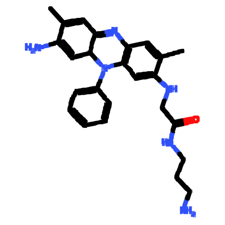 CC1=CC2=Nc3cc(C)c(NCC(=O)NCCCN)cc3N(c3ccccc3)C2C=C1N